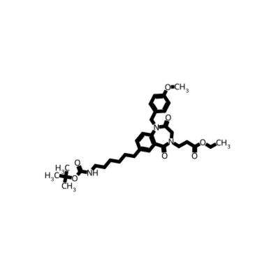 CCOC(=O)CCN1CC(=O)N(Cc2ccc(OC)cc2)c2ccc(CCCCCCNC(=O)OC(C)(C)C)cc2C1=O